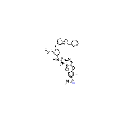 C=N/C=C\n1ncc(Oc2cnc3nc(Nc4ccc(CN5CC[C@@H](OCc6ccccc6)C5)c(C(F)(F)F)c4)n(C)c3c2Cl)c1C